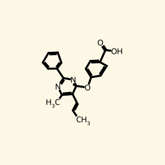 C/C=C/c1c(C)nc(-c2ccccc2)nc1Oc1ccc(C(=O)O)cc1